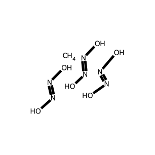 C.ON=NO.ON=NO.ON=NO